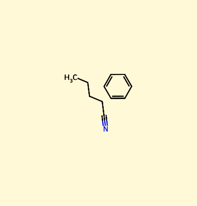 CCCCC#N.c1ccccc1